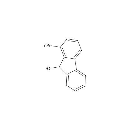 CCCc1cccc2c1C([O])c1ccccc1-2